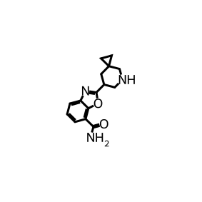 NC(=O)c1cccc2nc(C3CNCC4(CC4)C3)oc12